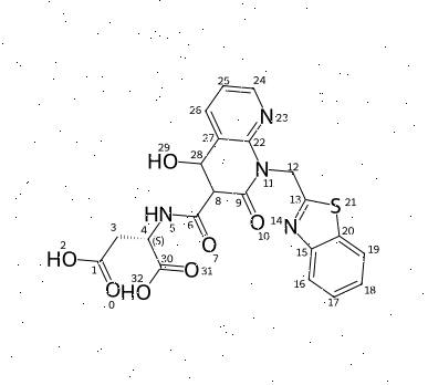 O=C(O)C[C@H](NC(=O)C1C(=O)N(Cc2nc3ccccc3s2)c2ncccc2C1O)C(=O)O